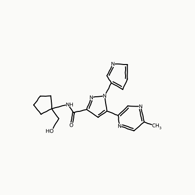 Cc1cnc(-c2cc(C(=O)NC3(CO)CCCC3)nn2-c2cccnc2)cn1